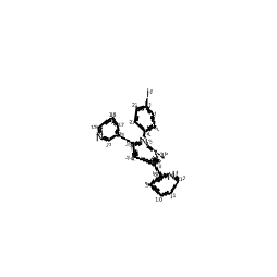 Ic1ccc(-n2nc(-c3ccccn3)cc2-c2cccnc2)cc1